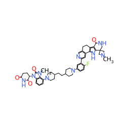 CN1CC2(CNC(=O)c3c2[nH]c2c3CCc3cnc(-c4cc(N5CCC(CCC6CCN(c7cccc8c7n(C)c(=O)n8C7CCC(=O)NC7=O)CC6)CC5)ccc4F)cc3-2)C1